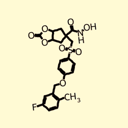 Cc1ccc(F)cc1COc1ccc(S(=O)(=O)CC2(C(=O)NO)CC3OC(=O)OC3C2)cc1